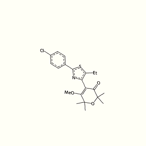 CCc1sc(-c2ccc(Cl)cc2)nc1C1=C(OC)C(C)(C)OC(C)(C)C1=O